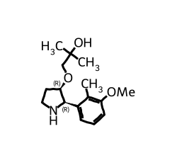 COc1cccc([C@H]2NCC[C@H]2OCC(C)(C)O)c1C